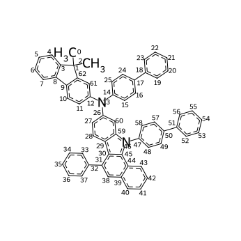 CC1(C)c2ccccc2-c2ccc(N(c3ccc(-c4ccccc4)cc3)c3ccc4c5c(-c6ccccc6)cc6ccccc6c5n(-c5ccc(-c6ccccc6)cc5)c4c3)cc21